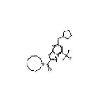 O=C(c1cc2nc(CC3CCCC3)cc(C(F)(F)F)n2n1)N1CCCCCCCC1